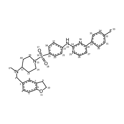 CN(Cc1ccc2c(c1)CCO2)C1CCN(S(=O)(=O)c2ccc(Nc3nccc(-c4ccc(F)cc4)n3)cc2)CC1